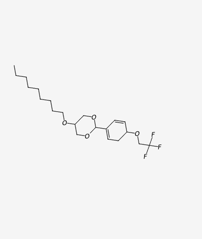 CCCCCCCCCOC1COC(C2=CCC(OCC(F)(F)F)C=C2)OC1